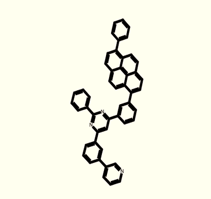 c1ccc(-c2nc(-c3cccc(-c4cccnc4)c3)cc(-c3cccc(-c4ccc5ccc6c(-c7ccccc7)ccc7ccc4c5c76)c3)n2)cc1